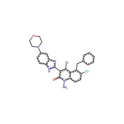 CCc1c(-c2nc3cc(N4CCOCC4)ccc3[nH]2)c(=O)n(N)c2ccc(Cl)c(Cc3ccccc3)c12